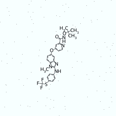 Cn1c(Nc2ccc(SC(F)(F)F)cc2)nc2cc(Oc3ccnc(C(=O)NOC(C)(C)C)c3)ccc21